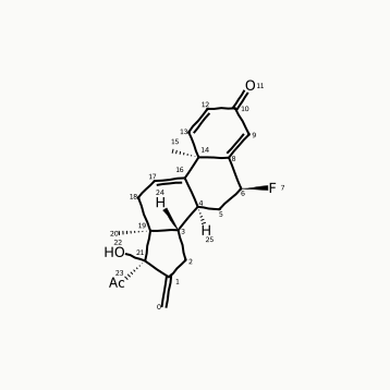 C=C1C[C@H]2[C@@H]3C[C@H](F)C4=CC(=O)C=C[C@]4(C)C3=CC[C@]2(C)[C@@]1(O)C(C)=O